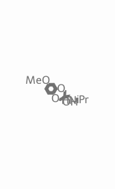 COc1ccc2c(c1)OCC(O)(CNC(C)C)CO2